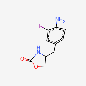 Nc1ccc(CC2COC(=O)N2)cc1I